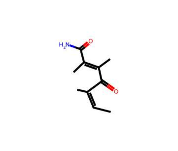 CC=C(C)C(=O)C(C)=C(C)C(N)=O